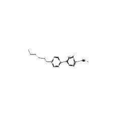 CCCCCCc1ccc(-c2ccc(C#N)c(F)c2F)cc1